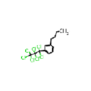 [CH2]CCCc1cccc(C(Cl)(Cl)C(Cl)(Cl)C(Cl)(Cl)Cl)c1